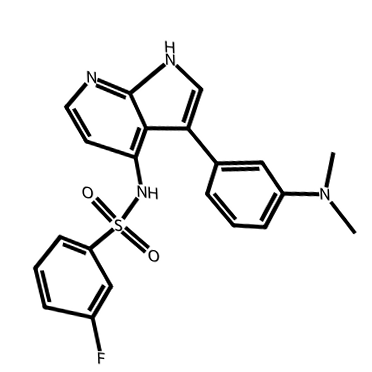 CN(C)c1cccc(-c2c[nH]c3nccc(NS(=O)(=O)c4cccc(F)c4)c23)c1